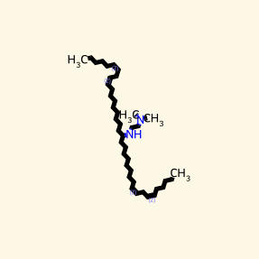 CCCCC/C=C\C/C=C\CCCCCCCCC(CCCCCCCC/C=C\C/C=C\CCCCC)NCCN(C)C